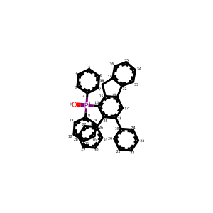 O=P(c1ccccc1)(c1ccccc1)c1c2c(cc(-c3ccccc3)c1-c1ccccc1)-c1ccccc1C2